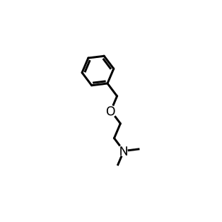 CN(C)CCOCc1ccccc1